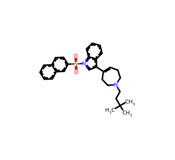 CC(C)(C)CCN1CCC=C(c2cn(S(=O)(=O)c3ccc4ccccc4c3)c3ccccc23)CC1